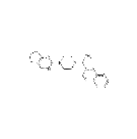 CC(c1ccc2cccnc2n1)N1CCN(c2ncc3c(n2)COC3)CC1